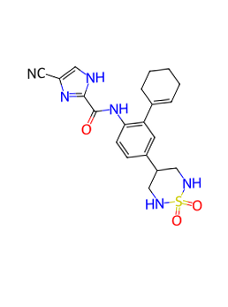 N#Cc1c[nH]c(C(=O)Nc2ccc(C3CNS(=O)(=O)NC3)cc2C2=CCCCC2)n1